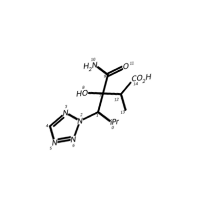 CC(C)C(n1ncnn1)C(O)(C(N)=O)C(C)C(=O)O